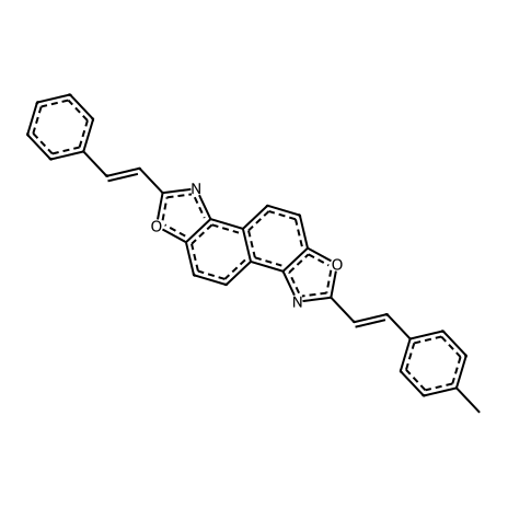 Cc1ccc(/C=C/c2nc3c(ccc4c3ccc3oc(/C=C/c5ccccc5)nc34)o2)cc1